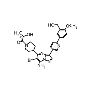 COc1ccc(-c2ccc(-c3cnn4c(N)c(Br)c(C5CCN(C(=O)[C@@H](C)O)CC5)nc34)cn2)cc1CO